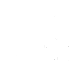 COc1ccc(CN(Cc2ccc(OC)cc2)c2ncnc(Cl)c2N)cc1